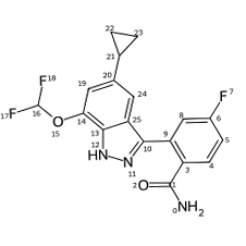 NC(=O)c1ccc(F)cc1-c1n[nH]c2c(OC(F)F)cc(C3CC3)cc12